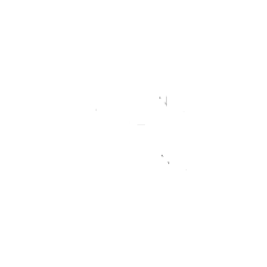 CC(N)S.NCCS